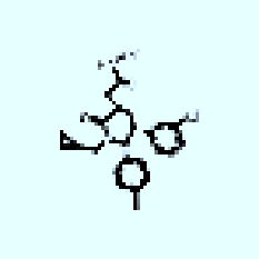 Cc1ccc([C@@H]2[C@@H](c3cccc(Cl)c3)C[C@H](CC(=O)NC(C)C)C(=O)N2CC2CC2)cc1